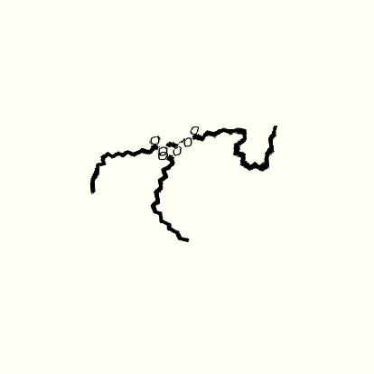 CCCCC/C=C\C/C=C\C/C=C\C/C=C\CCCCCC(=O)OC[C@@H](COC(=O)CCCCCCC/C=C\CCCCC)OC(=O)CCCCCCC/C=C\CCCCCCC